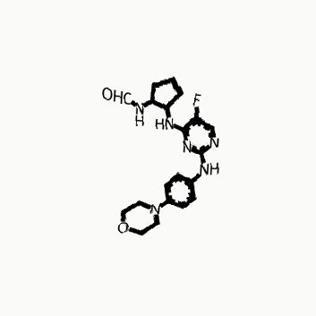 O=CNC1CCCC1Nc1nc(Nc2ccc(N3CCOCC3)cc2)ncc1F